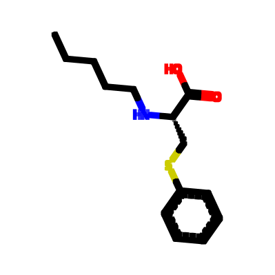 CCCCCN[C@@H](CSc1ccccc1)C(=O)O